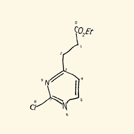 CCOC(=O)CCc1ccnc(Cl)n1